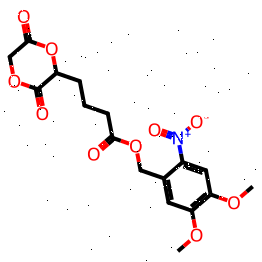 COc1cc(COC(=O)CCCC2OC(=O)COC2=O)c([N+](=O)[O-])cc1OC